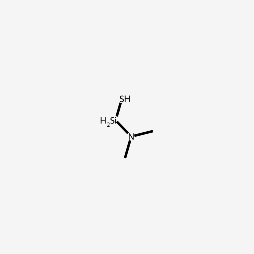 CN(C)[SiH2]S